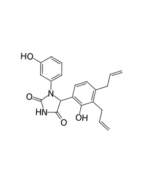 C=CCc1ccc(C2C(=O)NC(=O)N2c2cccc(O)c2)c(O)c1CC=C